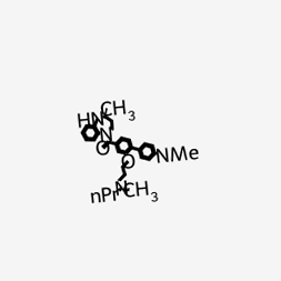 CCCN(C)CCCOc1cc(C(=O)N2CC[C@H](C)Nc3ccccc32)ccc1-c1ccc(NC)cc1